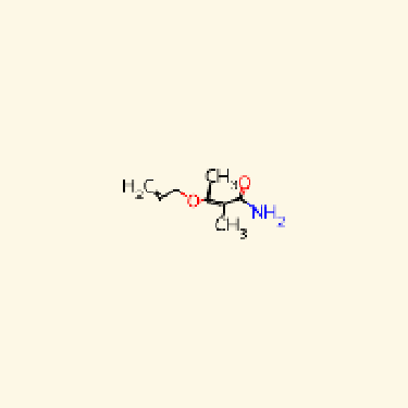 C=CCO/C(C)=C(\C)C(N)=O